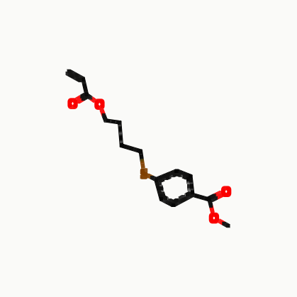 C=CC(=O)OCCCCSc1ccc(C(=O)OC)cc1